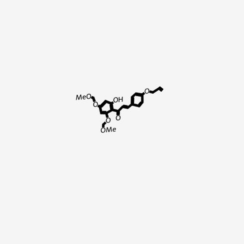 C=CCOc1ccc(C=CC(=O)c2c(O)cc(OCOC)cc2OCOC)cc1